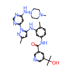 Cc1cc(Nc2cc(NC(=O)c3cncc(C(C)(C)O)c3)ccc2C)n(-c2cc(NN3CCN(C)CC3)ncn2)n1